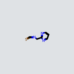 S=C=NCc1ncccn1